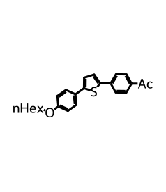 CCCCCCOc1ccc(-c2ccc(-c3ccc(C(C)=O)cc3)s2)cc1